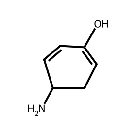 NC1C=CC(O)=CC1